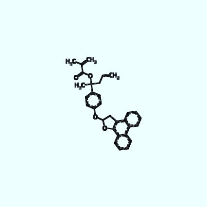 C=CCC(C)(OC(=O)C(=C)C)c1ccc(OC2Cc3c(c4ccccc4c4ccccc34)O2)cc1